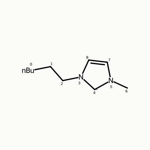 CCCCCCN1[CH]N(C)C=C1